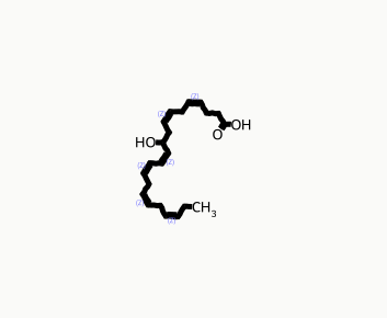 CC/C=C\C/C=C\C/C=C\C=C/C(O)C/C=C\C/C=C\CCC(=O)O